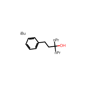 CCCC(O)(CCC)CCc1cccc([C@H](C)CC)c1